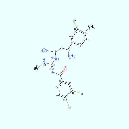 Cc1ccc(C(N)CC(N)N/C(=N\C(=O)c2ccc(F)c(F)c2)NC(C)C)cc1F